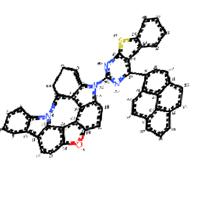 C1=c2c3c(n4c5ccccc5c5ccc6oc7ccc(c3c7c6c54)n2-c2nc(-c3ccc4ccc5cccc6ccc3c4c56)c3c(n2)sc2ccccc23)CC1